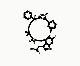 Cn1nc2nc1-c1cc(ccn1)Sc1c(F)cc3[nH]cc(CC(=O)O)c3c1CCS(=O)(=O)CC(C)(C)CCC[C@]2(C)c1ccccc1